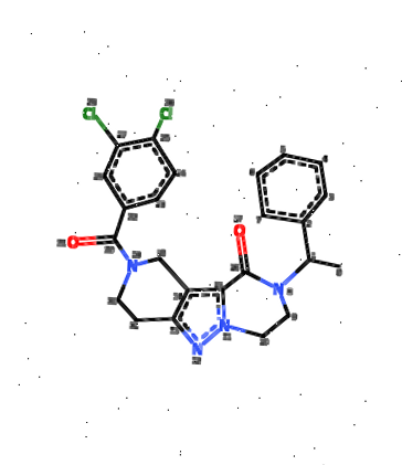 CC(c1ccccc1)N1CCn2nc3c(c2C1=O)CN(C(=O)c1ccc(Cl)c(Cl)c1)CC3